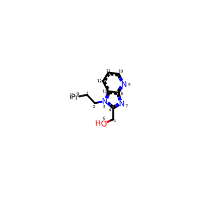 CC(C)CCn1c(CO)nc2ncccc21